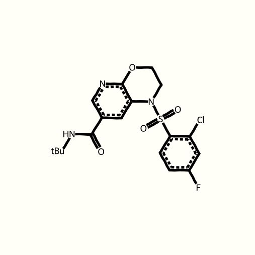 CC(C)(C)NC(=O)c1cnc2c(c1)N(S(=O)(=O)c1ccc(F)cc1Cl)CCO2